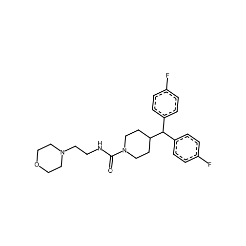 O=C(NCCN1CCOCC1)N1CCC(C(c2ccc(F)cc2)c2ccc(F)cc2)CC1